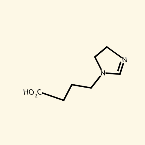 O=C(O)CCCN1C=NCC1